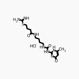 Cc1cc(=O)nc(NC(=O)NCCCCNC(=O)CCCSC(=N)N)[nH]1.Cl